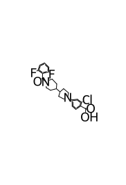 O=C(O)c1ccc(N2CCC(C3CCN(C(=O)c4c(F)cccc4F)CC3)CC2)cc1Cl